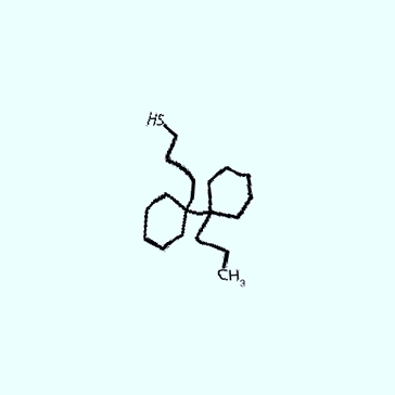 CCCC1(C2(CCCS)CCCCC2)CCCCC1